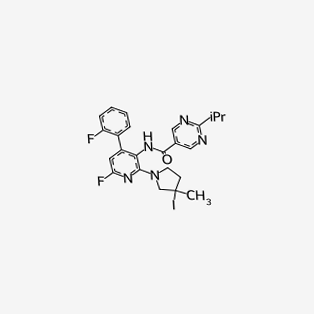 CC(C)c1ncc(C(=O)Nc2c(-c3ccccc3F)cc(F)nc2N2CCC(C)(I)C2)cn1